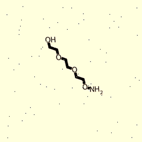 NOCCOCCOCCO